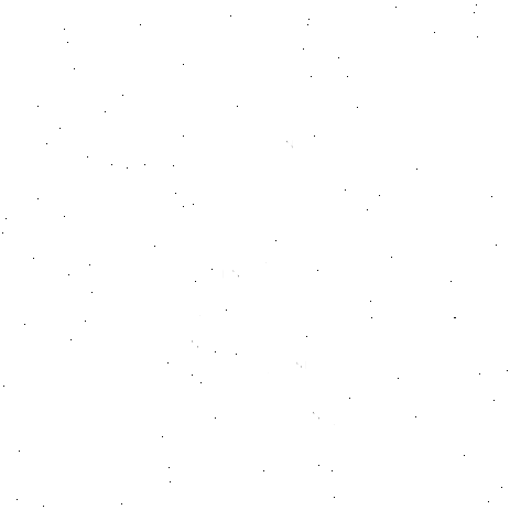 N=C(/C=C\N)c1c[nH]c(=O)c(NC(=O)c2ccc(N3CCCCC3)cc2)c1